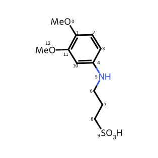 COc1ccc(NCCCS(=O)(=O)O)cc1OC